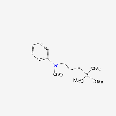 CO[Si](CCCN([C]=O)c1ccccc1)(OC)OC